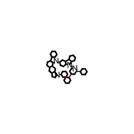 c1ccc(-c2cc(-c3ccccc3)nc(-n3c4ccccc4c4cc(-n5c6ccccc6c6ccc7cc8ccn(-c9ccccc9)c8cc7c65)ccc43)c2)cc1